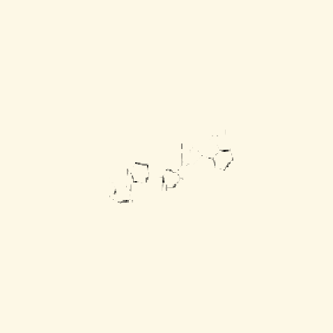 COc1ccccc1[C@H](C)CNc1cc(-c2ccnc(-n3ncnc3C)c2)ncn1